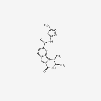 Cc1cc(NC(=O)c2ccc3cc4n(c3c2)[C@@H](C)[C@@H](C)NC4=O)no1